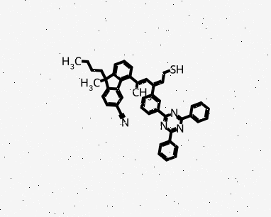 CCCCC1(C)c2ccc(C#N)cc2-c2c(/C(C)=C/C(=C\CS)c3cccc(-c4nc(-c5ccccc5)nc(-c5ccccc5)n4)c3)cccc21